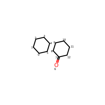 C1CCCCC1.O=C1CCCCC1